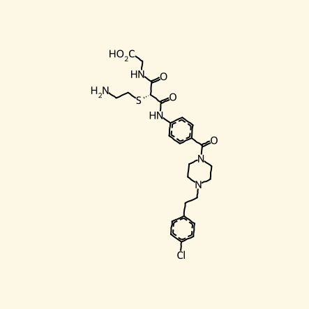 NCCS[C@H](C(=O)NCC(=O)O)C(=O)Nc1ccc(C(=O)N2CCN(CCc3ccc(Cl)cc3)CC2)cc1